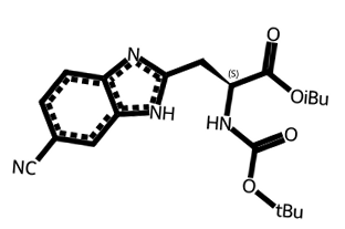 CC(C)COC(=O)[C@H](Cc1nc2ccc(C#N)cc2[nH]1)NC(=O)OC(C)(C)C